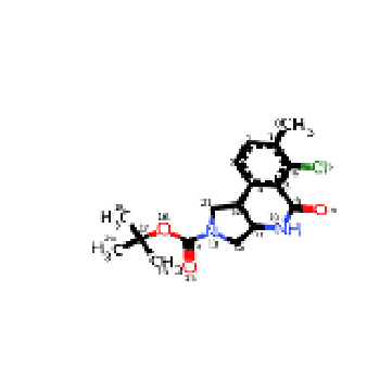 Cc1ccc2c(c1Cl)C(=O)NC1CN(C(=O)OC(C)(C)C)CC21